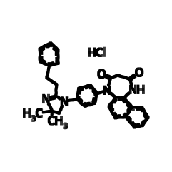 CC1(C)CN(c2ccc(N3C(=O)CC(=O)Nc4c3ccc3ccccc43)cc2)C(CCc2ccccc2)=N1.Cl